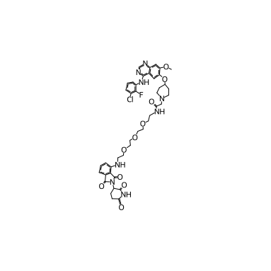 COc1cc2ncnc(Nc3cccc(Cl)c3F)c2cc1OC1CCN(CC(=O)NCCOCCOCCOCCNc2cccc3c2C(=O)N(C2CCC(=O)NC2=O)C3=O)CC1